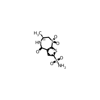 C[C@H]1CS(=O)(=O)c2sc(S(N)(=O)=O)cc2C(=O)N1